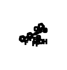 O=C(O)C(F)(F)F.O=C1CCCC(=O)N1CC#Cc1ccc(-c2ccccc2F)nc1